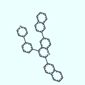 c1cc(-c2ccncc2)cc(-c2cc(-c3ccc4ccccc4c3)nc3ccc(-c4ccc5ccccc5c4)cc23)c1